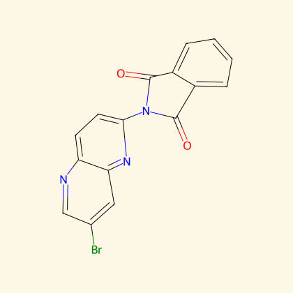 O=C1c2ccccc2C(=O)N1c1ccc2ncc(Br)cc2n1